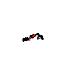 CCN(CC)c1ccc(C=Cc2cc[n+](CCCNCC(O)COc3cccc4ccccc34)c3ccccc23)cc1